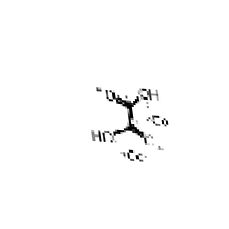 O=C(O)C(=O)O.[Co].[Co]